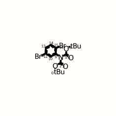 CC(C)(C)OC(=O)N(C(=O)OC(C)(C)C)c1cc(Br)ccc1Br